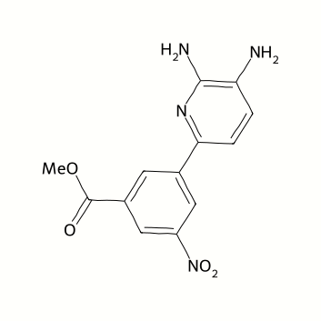 COC(=O)c1cc(-c2ccc(N)c(N)n2)cc([N+](=O)[O-])c1